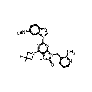 [C-]#[N+]c1ccc2ncn(-c3nc(N4CC(F)(F)C4)c4[nH]c(=O)n(Cc5cccnc5C)c4n3)c2c1